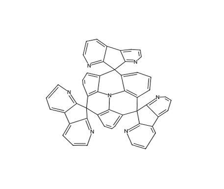 c1cnc2c(c1)-c1cccnc1C21c2cccc3c2N2c4c1cccc4C1(c4cccc(c42)C32c3ncccc3-c3cccnc32)c2ncccc2-c2cccnc21